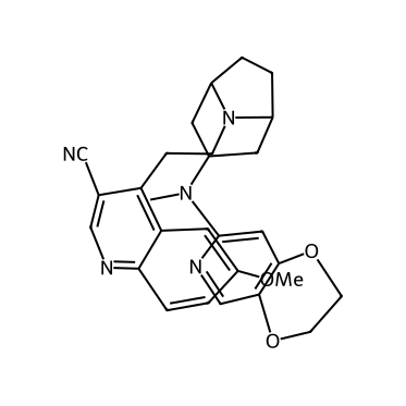 COc1ccc2ncc(C#N)c(CCN3C4CCC3CC(N(C)c3cc5c(cn3)OCCO5)C4)c2c1